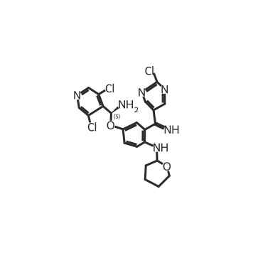 N=C(c1cnc(Cl)nc1)c1cc(O[C@H](N)c2c(Cl)cncc2Cl)ccc1NC1CCCCO1